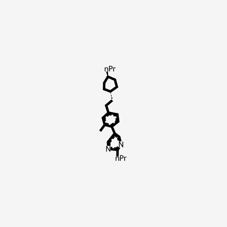 CCCc1ncc(-c2ccc(CC[C@H]3CC[C@H](CCC)CC3)cc2C)cn1